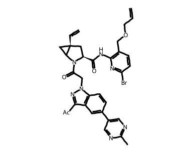 C=CCOCc1ccc(Br)nc1NC(=O)[C@@H]1C[C@@]2(C=C)CC2N1C(=O)Cn1nc(C(C)=O)c2cc(-c3cnc(C)nc3)ccc21